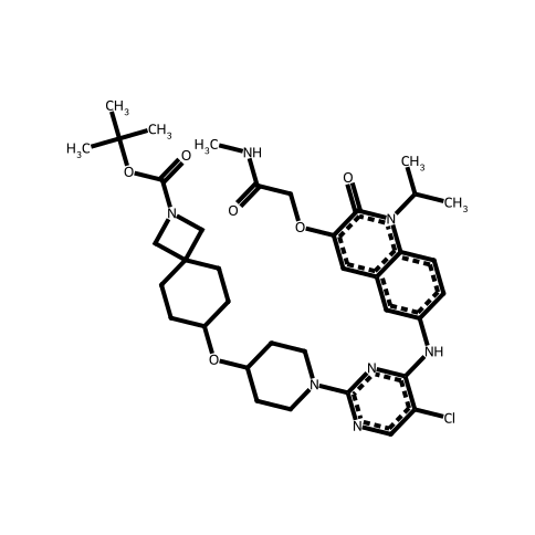 CNC(=O)COc1cc2cc(Nc3nc(N4CCC(OC5CCC6(CC5)CN(C(=O)OC(C)(C)C)C6)CC4)ncc3Cl)ccc2n(C(C)C)c1=O